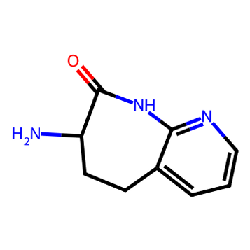 NC1CCc2cccnc2NC1=O